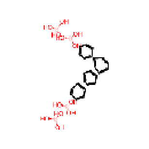 OB(O)O.OB(O)O.OB(O)O.OB(O)O.c1ccccc1.c1ccccc1.c1ccccc1.c1ccccc1